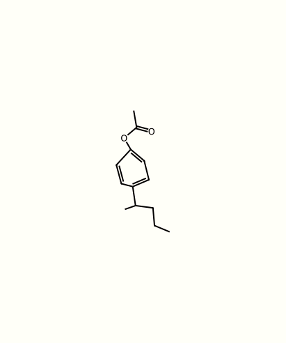 CCCC(C)c1ccc(OC(C)=O)cc1